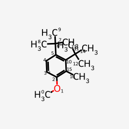 COc1[c]cc(C(C)(C)C)c(C(C)(C)C)c1C